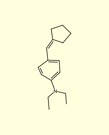 CCN(CC)c1ccc(C=C2CCCC2)cc1